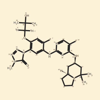 [2H]C([2H])(Oc1cc(F)c(Nc2ncc(F)c(N[C@@H]3C[C@@H]4CCCN4C(C)(C)C3)n2)cc1-n1nnn(C)c1=O)C(C)(C)O